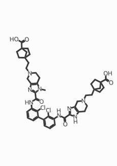 Cn1c(C(=O)Nc2cccc(-c3cccc(NC(=O)c4nc5c([nH]4)CCN(CCC46CCC(C(=O)O)(CC4)C6)C5)c3Cl)c2Cl)nc2c1CCN(CCC13CCC(C(=O)O)(CC1)C3)C2